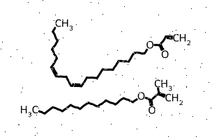 C=C(C)C(=O)OCCCCCCCCCCCC.C=CC(=O)OCCCCCCCC/C=C\C/C=C\CCCCC